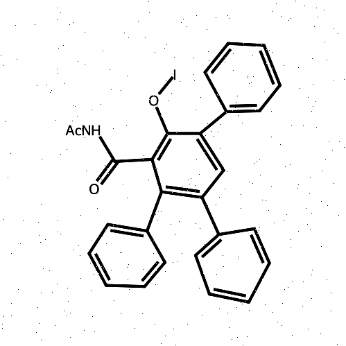 CC(=O)NC(=O)c1c(OI)c(-c2ccccc2)cc(-c2ccccc2)c1-c1ccccc1